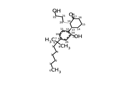 CCCCCCC(C)(C)c1ccc([C@@H]2CCCC(=O)[C@H]2CCCO)c(O)c1